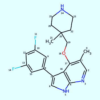 Cc1cnc2[nH]cc(-c3cc(F)cc(F)c3)c2c1OCC1(C)CCNCC1